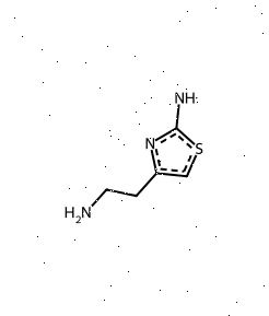 [NH]c1nc(CCN)cs1